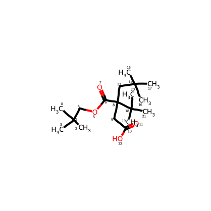 CC(C)(C)COC(=O)C(CC(=O)O)(CC(C)(C)C)C(C)(C)C